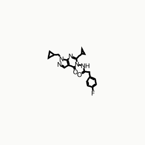 O=C(Cc1ccc(F)cc1)Nn1c(C2CC2)nc2c(cnn2CC2CC2)c1=O